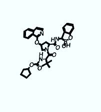 CC(C)(C)[C@H](NC(=O)OC1CCCC1)C(=O)N1CC(Oc2nccc3ccccc23)C[C@H]1C(=O)NC1B(O)Oc2ccccc21